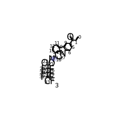 C=CC(=O)c1ccc2c(c1)c1cccc3c1n2CC/C3=N\OC(=O)C(F)(F)C(F)(F)C(F)(F)C(F)(F)F